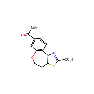 CNC(=O)c1ccc2c(c1)OCCc1sc(C(=O)O)nc1-2